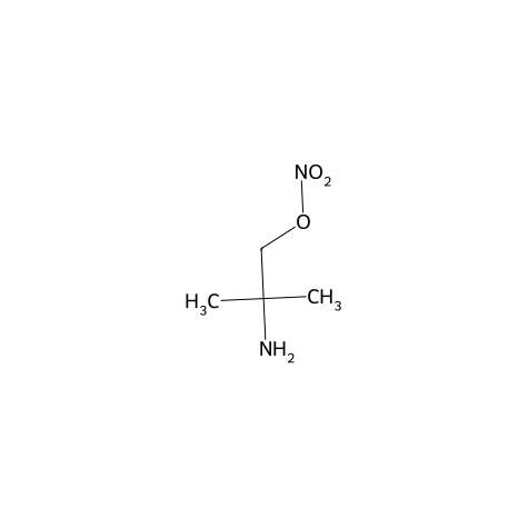 CC(C)(N)CO[N+](=O)[O-]